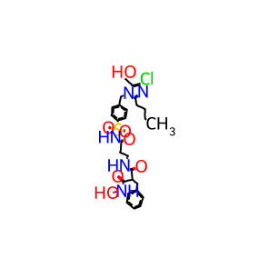 CCCCc1nc(Cl)c(CO)n1Cc1ccc(S(=O)(=O)NC(=O)CCNC(=O)C(Cc2ccccc2)C(=O)NO)cc1